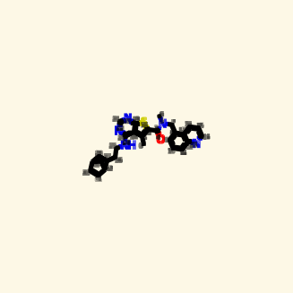 Cc1c(C(=O)N(C)Cc2cccc3ncccc23)sc2ncnc(NCCC3CC4C=CC3C4)c12